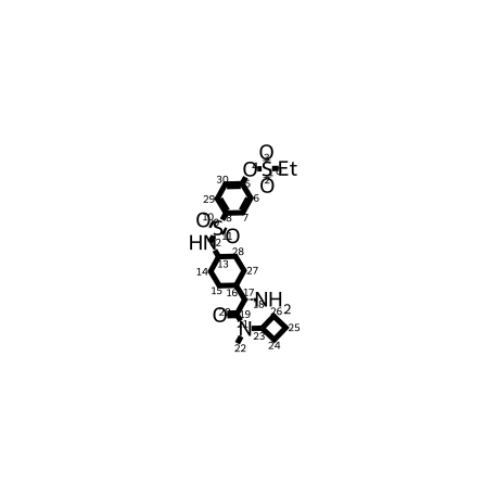 CCS(=O)(=O)Oc1ccc(S(=O)(=O)NC2CCC([C@H](N)C(=O)N(C)C3CCC3)CC2)cc1